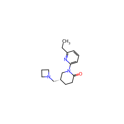 CCc1cccc(N2C[C@@H](CN3CCC3)CCC2=O)n1